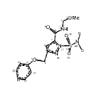 COCNC(=O)c1cc(COc2ccccc2)nn1S(=O)(=O)N(C)C